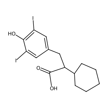 O=C(O)C(Cc1cc(I)c(O)c(I)c1)C1CCCCC1